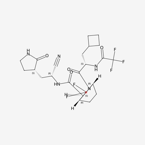 N#C[C@@H](C[C@@H]1CCNC1=O)NC(=O)[C@@H]1[C@H]2CC[C@H](CC2(F)F)N1C(=O)[C@H](CC1CCC1)NC(=O)C(F)(F)F